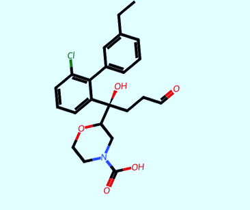 CCc1cccc(-c2c(Cl)cccc2[C@](O)(CCC=O)C2CN(C(=O)O)CCO2)c1